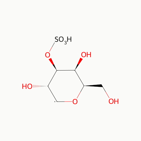 O=S(=O)(O)O[C@H]1[C@@H](O)[C@@H](CO)O[CH][C@@H]1O